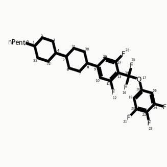 CCCCCC1CCC(C2CCC(c3cc(F)c(C(F)(F)Oc4cc(F)c(F)c(F)c4)c(F)c3)CC2)CC1